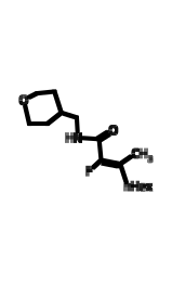 CCCCCC/C(C)=C(\F)C(=O)NCC1CCOCC1